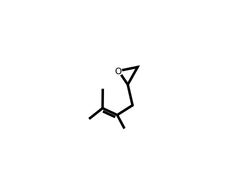 CC(C)=C(C)CC1CO1